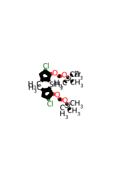 CC1=C([SiH2]C2=C(C)CC(Cl)=C2OCO[Si](C)(C)C)C(OCO[Si](C)(C)C)=C(Cl)C1.[Zr]